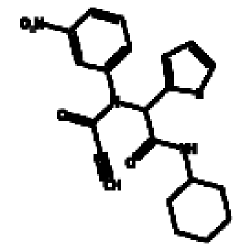 C#CC(=O)N(c1cccc([N+](=O)[O-])c1)C(C(=O)NC1CCCCC1)c1cccs1